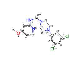 C=C(Nc1cc(OC)ccn1)N1CCN(c2cc(Cl)cc(Cl)c2)CC1